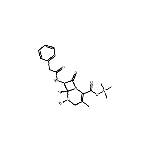 CC1=C(C(=O)O[Si](C)(C)C)N2C(=O)C(NC(=O)Cc3ccccc3)[C@H]2[S+]([O-])C1